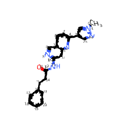 Cn1cc(-c2ccc3cnc(NC(=O)CCc4ccccc4)cc3n2)cn1